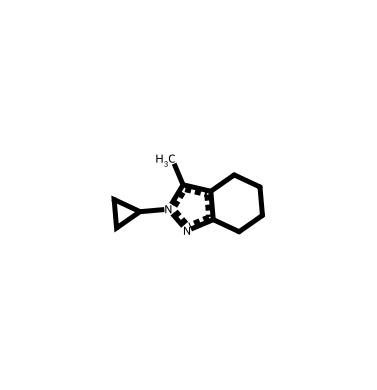 Cc1c2c(nn1C1CC1)CCCC2